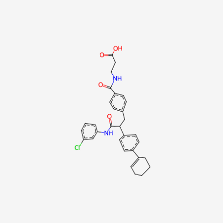 O=C(O)CCNC(=O)c1ccc(CC(C(=O)Nc2cccc(Cl)c2)c2ccc(C3=CCCCC3)cc2)cc1